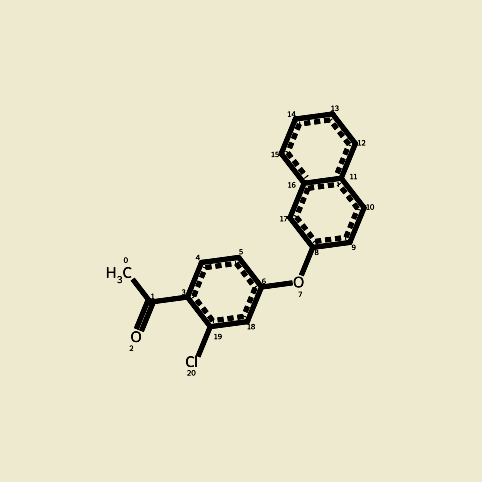 CC(=O)c1ccc(Oc2ccc3ccccc3c2)cc1Cl